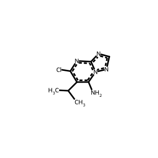 CC(C)c1c(Cl)nc2ncnn2c1N